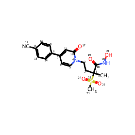 CC(CCn1ccc(-c2ccc(C#N)cc2)cc1=O)(C(=O)NO)S(C)(=O)=O